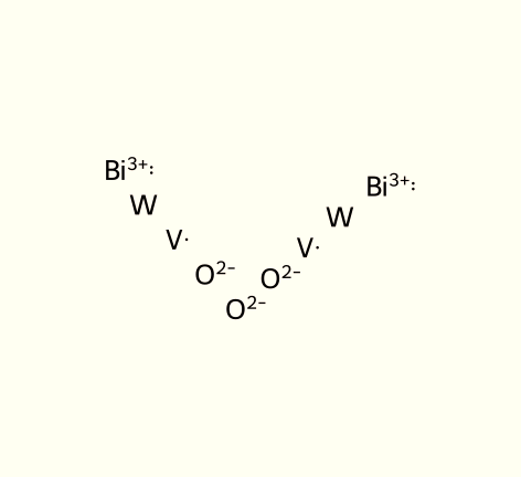 [Bi+3].[Bi+3].[O-2].[O-2].[O-2].[V].[V].[W].[W]